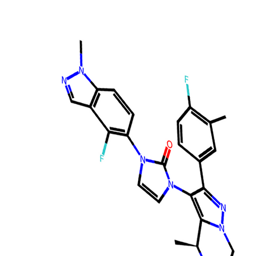 Cc1cc(-c2nn3c(c2-n2ccn(-c4ccc5c(cnn5C)c4F)c2=O)[C@H](C)NCC3)ccc1F